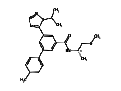 COC[C@H](C)NC(=O)c1cc(-c2ccc(C)cc2)cc(-c2ccnn2C(C)C)c1